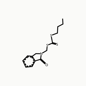 CCCCSC(=S)SCN1Cc2ccccc2C1=O